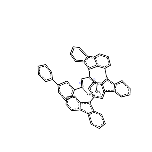 C/C=C(\C=C(/C)c1cccc(-c2ccccc2)c1)n1c2c(c3cccc(-n4c5ccccc5c5cc(-n6c7ccccc7c7ccccc76)ccc54)c31)=CC=C=C=2